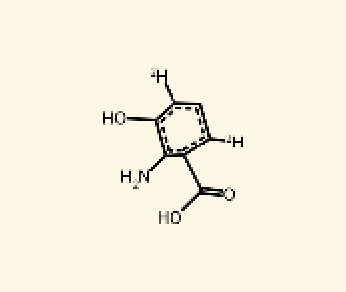 [2H]c1cc([2H])c(C(=O)O)c(N)c1O